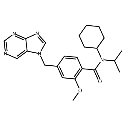 COc1cc(Cn2cnc3ncncc32)ccc1C(=O)N(C(C)C)C1CCCCC1